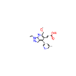 CCn1ncc2c(-c3cncc(C)c3)c(C=CC(=O)O)c(COC)nc21